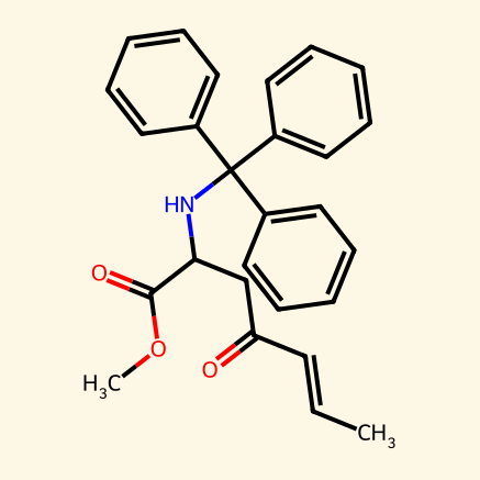 CC=CC(=O)CC(NC(c1ccccc1)(c1ccccc1)c1ccccc1)C(=O)OC